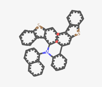 c1ccc(N(c2cccc3ccccc23)c2cccc3sc4ccccc4c23)c(-c2ccc3c(c2)sc2ccccc23)c1